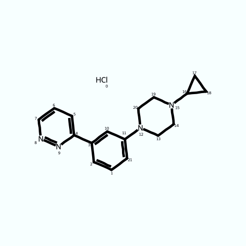 Cl.c1cc(-c2cccnn2)cc(N2CCN(C3CC3)CC2)c1